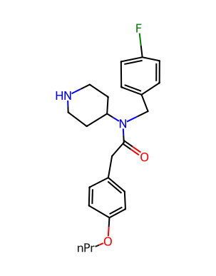 CCCOc1ccc(CC(=O)N(Cc2ccc(F)cc2)C2CCNCC2)cc1